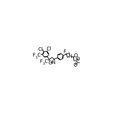 CS(=O)(=O)CC(=O)N1CC(F)(c2ccc(C3=NOC(c4cc(Cl)c(Cl)c(C(F)(F)F)c4)(C(F)(F)F)C3)cc2)C1